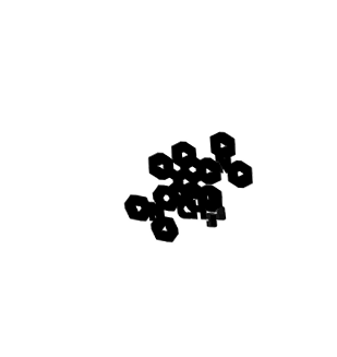 CC1(C)C2=C(CCC(N(c3ccccc3)C3C=CC=CC3)C2)C2=C(c3ccccc3)C3C4=C(CCC=C4)c4cc(N(C5=CC=CCC5)c5ccccc5)ccc4C3C(c3ccccc3)=C21